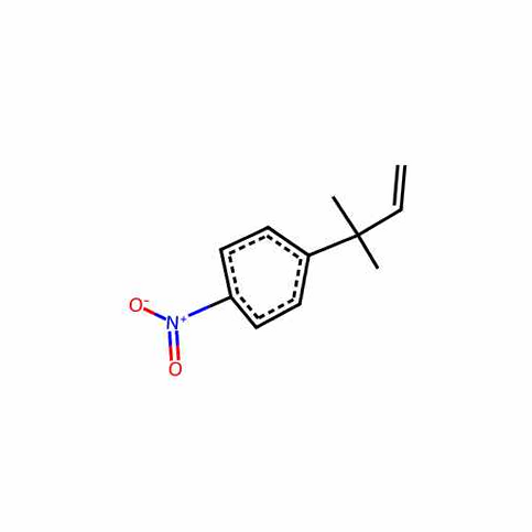 C=CC(C)(C)c1ccc([N+](=O)[O-])cc1